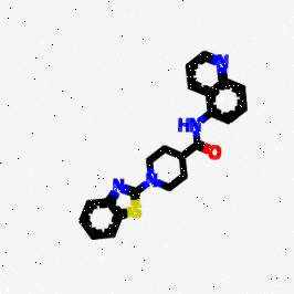 O=C(Nc1cccc2ncccc12)C1CCN(c2nc3ccccc3s2)CC1